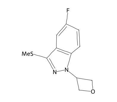 CSc1nn(C2COC2)c2ccc(F)cc12